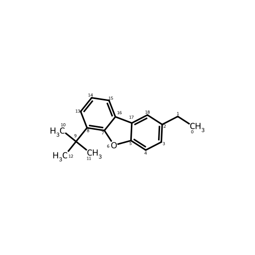 CCc1ccc2oc3c(C(C)(C)C)cccc3c2c1